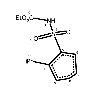 CCOC(=O)NS(=O)(=O)c1ccccc1C(C)C